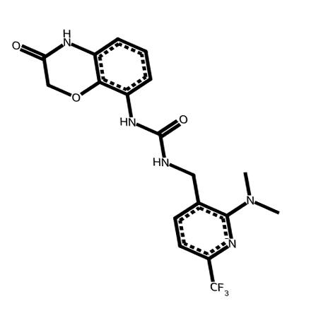 CN(C)c1nc(C(F)(F)F)ccc1CNC(=O)Nc1cccc2c1OCC(=O)N2